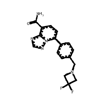 NC(=O)c1ccc(-c2ccc(CN3CC(F)(F)C3)cc2)n2n[c]nc12